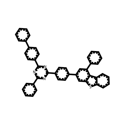 c1ccc(-c2ccc(-c3nc(-c4ccccc4)nc(-c4ccc(-c5cc(-c6ccccc6)c6c(c5)sc5ccccc56)cc4)n3)cc2)cc1